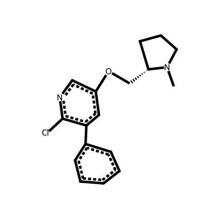 CN1CCC[C@H]1COc1cnc(Cl)c(-c2ccccc2)c1